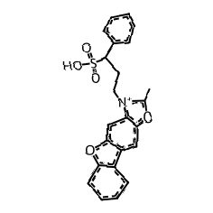 Cc1oc2cc3c(cc2[n+]1CCC(c1ccccc1)S(=O)(=O)O)oc1ccccc13